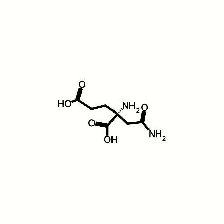 NC(=O)C[C@](N)(CCC(=O)O)C(=O)O